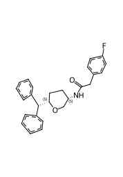 O=C(Cc1ccc(F)cc1)N[C@H]1CC[C@@H](C(c2ccccc2)c2ccccc2)OC1